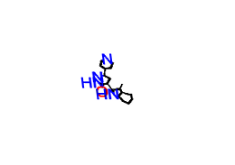 Cc1c(-c2cc(-c3ccncc3)n[nH]c2=O)[nH]c2ccccc12